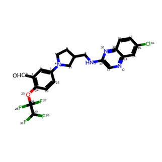 O=Cc1cc(N2CCC(CNc3cnc4cc(Cl)ccc4n3)C2)ccc1OC(F)(F)C(F)F